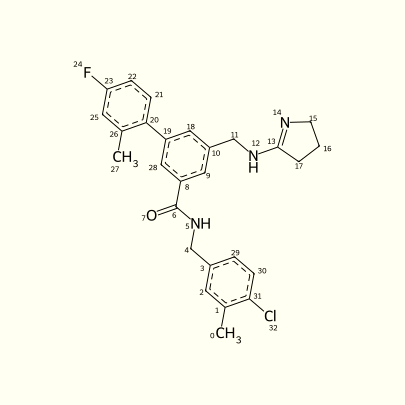 Cc1cc(CNC(=O)c2cc(CNC3=NCCC3)cc(-c3ccc(F)cc3C)c2)ccc1Cl